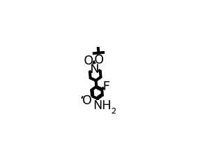 COc1cc(C2CCN(C(=O)OC(C)(C)C)CC2)c(F)cc1N